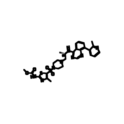 COC(=O)Nc1nc(C)c(S(=O)(=O)N2CCN(C[C@H](C)Nc3ncnc4c(-c5cccnc5C)cccc34)CC2)s1